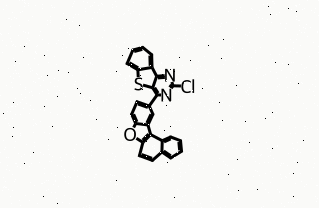 Clc1nc(-c2ccc3oc4ccc5ccccc5c4c3c2)c2sc3ccccc3c2n1